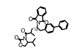 CC(C[C@@H](Cc1ccc(-c2ccccc2)cc1)N1C(=O)c2ccccc2C1=O)C(=O)N1C(=O)OCC1C(C)C